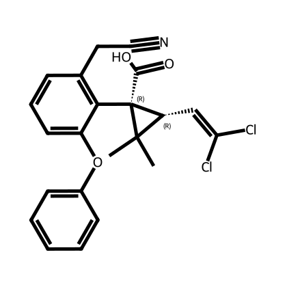 CC1(C)[C@@H](C=C(Cl)Cl)[C@]1(C(=O)O)c1c(CC#N)cccc1Oc1ccccc1